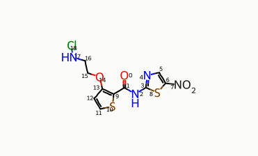 O=C(Nc1ncc([N+](=O)[O-])s1)c1sccc1OCCNCl